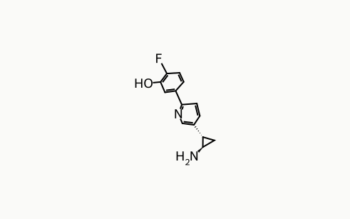 N[C@@H]1C[C@H]1c1ccc(-c2ccc(F)c(O)c2)nc1